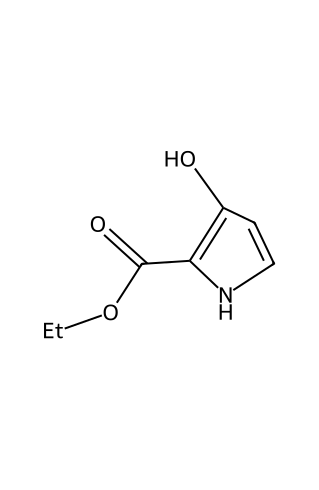 CCOC(=O)c1[nH]ccc1O